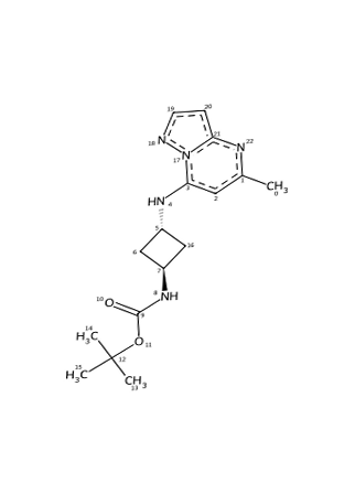 Cc1cc(N[C@H]2C[C@H](NC(=O)OC(C)(C)C)C2)n2nccc2n1